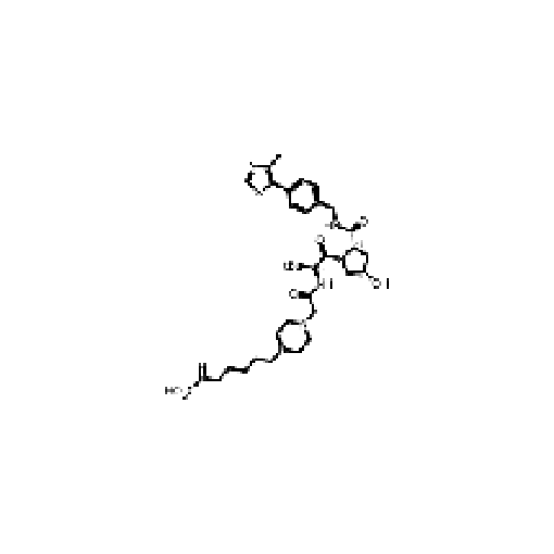 Cc1ncsc1-c1ccc(CNC(=O)[C@@H]2C[C@@H](O)CN2C(=O)[C@@H](NC(=O)CN2CCN(CCCCCNC(=O)O)CC2)C(C)(C)C)cc1